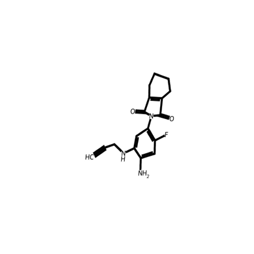 C#CCNc1cc(N2C(=O)C3=C(CCCC3)C2=O)c(F)cc1N